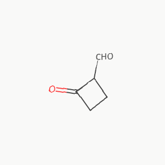 O=CC1CCC1=O